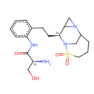 N[C@@H](CO)C(=O)Nc1ccccc1CC[C@H]1C2CN2C2CCCS(=O)(=O)N1C2